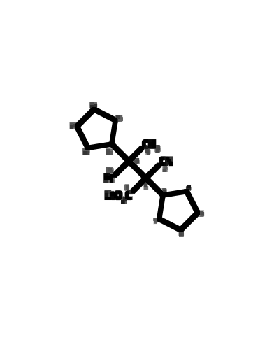 CCOC(=O)C(C#N)(C1CCCC1)C(C)(CC)C1CCCC1